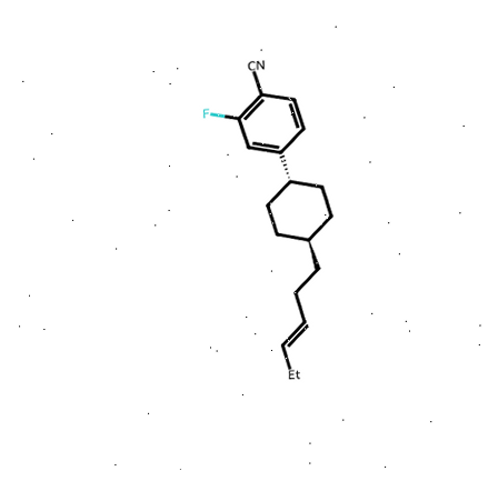 CCC=CCC[C@H]1CC[C@H](c2ccc(C#N)c(F)c2)CC1